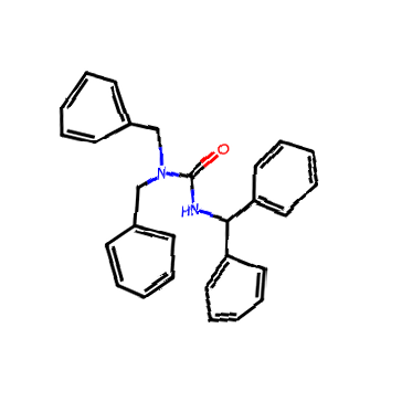 O=C(NC(c1ccccc1)c1ccccc1)N(Cc1ccccc1)Cc1ccccc1